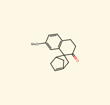 COc1ccc2c(c1)C1(CC3=CCC1C3)C(=O)CC2